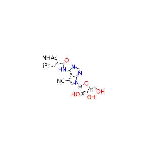 CC(=O)NC(CC(C)C)C(=O)Nc1ncnc2c1c(C#N)cn2[C@@H]1O[C@H](CO)C(O)[C@@H]1O